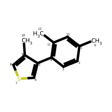 Cc1ccc(-c2cs[c]c2C)c(C)c1